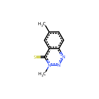 Cc1ccc2nnn(C)c(=S)c2c1